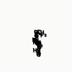 CC(CCF)C(=O)c1ccc(-c2cnc(N)c(-c3nnc(-c4ccc(CN[C@H]5CCOC5)cc4)o3)n2)cc1